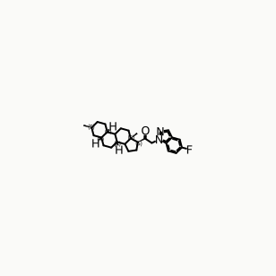 C[C@H]1CC[C@@H]2C3CC[C@@]4(C)C(CC[C@@H]4C(=O)Cn4ncc5cc(F)ccc54)[C@@H]3CC[C@@H]2C1